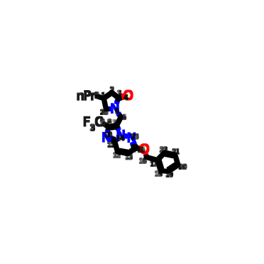 CCCC1CC(=O)N(Cc2c(C(F)(F)F)nc3ccc(OCc4ccccc4)nn23)C1